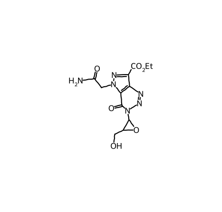 CCOC(=O)c1nn(CC(N)=O)c2c(=O)n(C3OC3CO)nnc12